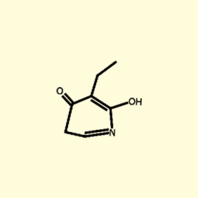 CCC1=C(O)N=CCC1=O